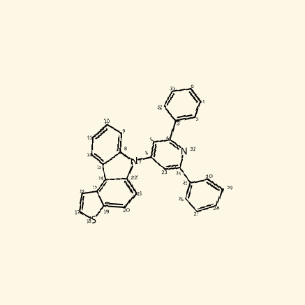 c1ccc(-c2cc(-n3c4ccccc4c4c5ccsc5ccc43)cc(-c3ccccc3)n2)cc1